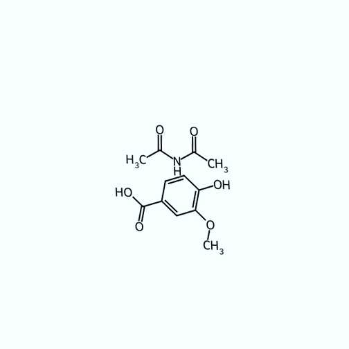 CC(=O)NC(C)=O.COc1cc(C(=O)O)ccc1O